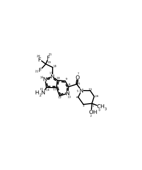 CC1(O)CCN(C(=O)c2cc3c(cn2)c(N)nn3CC(F)(F)F)CC1